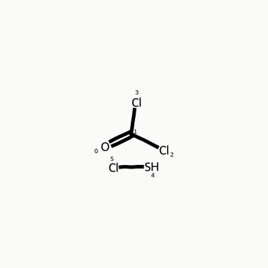 O=C(Cl)Cl.SCl